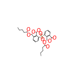 CCCCC(=O)OC1OC(=O)c2c1cccc2S(=O)(=O)c1cccc2c1C(OC(=O)CCCC)OC2=O